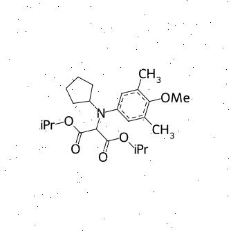 COc1c(C)cc(N(C2CCCC2)C(C(=O)OC(C)C)C(=O)OC(C)C)cc1C